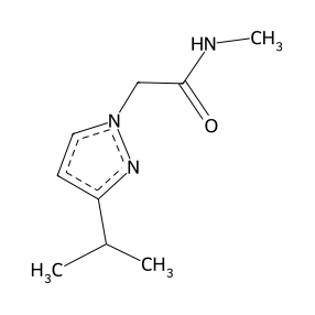 CNC(=O)Cn1ccc(C(C)C)n1